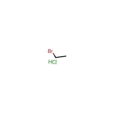 CCBr.Cl